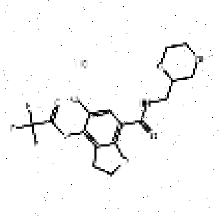 Cl.O=C(NCC1CNCCO1)c1cc(Cl)c(NC(=O)C(F)(F)F)c2c1OCC2